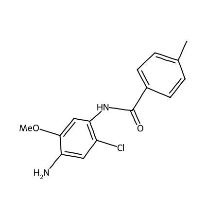 COc1cc(NC(=O)c2ccc(C)cc2)c(Cl)cc1N